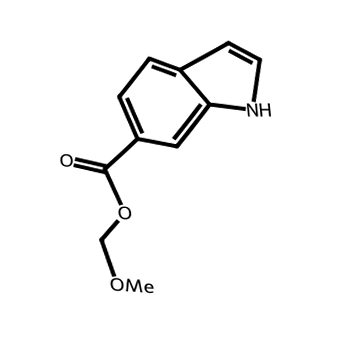 COCOC(=O)c1ccc2cc[nH]c2c1